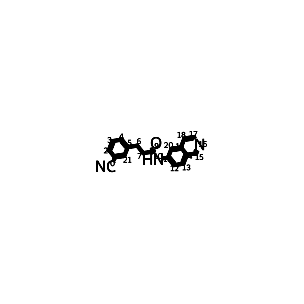 N#Cc1cccc(CCC(=O)Nc2ccc3cnccc3c2)c1